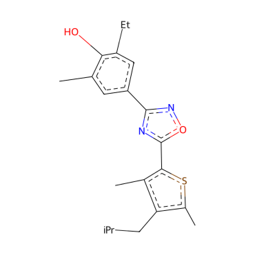 CCc1cc(-c2noc(-c3sc(C)c(CC(C)C)c3C)n2)cc(C)c1O